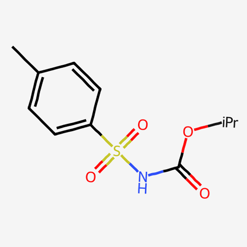 Cc1ccc(S(=O)(=O)NC(=O)OC(C)C)cc1